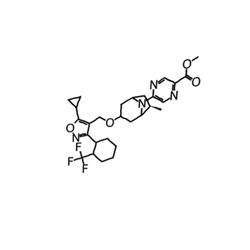 COC(=O)c1cnc(N2C3CC(OCc4c(C5CCCCC5C(F)(F)F)noc4C4CC4)CC2[C@H](C)C3)cn1